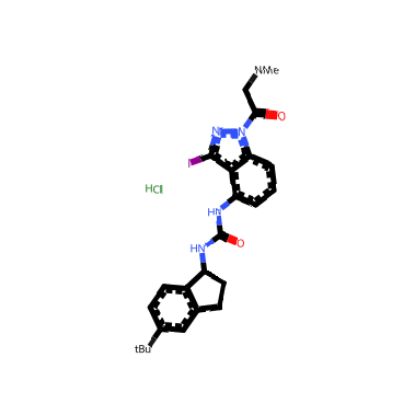 CNCC(=O)n1nc(I)c2c(NC(=O)NC3CCc4cc(C(C)(C)C)ccc43)cccc21.Cl